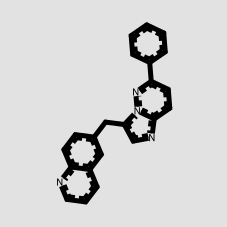 c1ccc(-c2ccc3ncc(Cc4ccc5ncccc5c4)n3n2)cc1